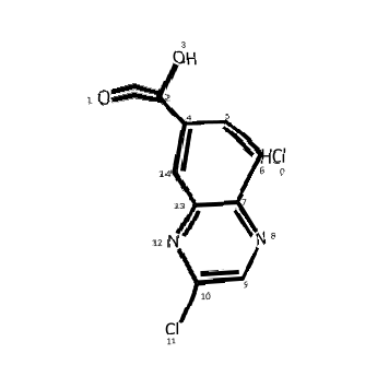 Cl.O=C(O)c1ccc2ncc(Cl)nc2c1